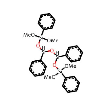 CO[Si](OC)(O[SiH](O[SiH](O[Si](OC)(OC)c1ccccc1)c1ccccc1)c1ccccc1)c1ccccc1